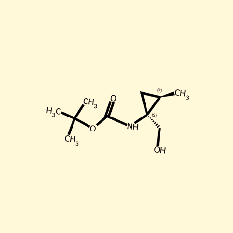 C[C@@H]1C[C@]1(CO)NC(=O)OC(C)(C)C